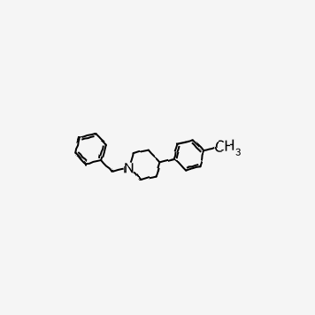 Cc1ccc(C2CCN(Cc3ccccc3)CC2)cc1